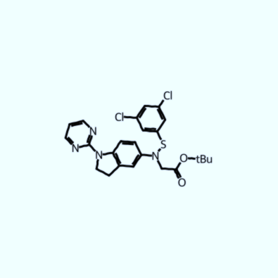 CC(C)(C)OC(=O)CN(Sc1cc(Cl)cc(Cl)c1)c1ccc2c(c1)CCN2c1ncccn1